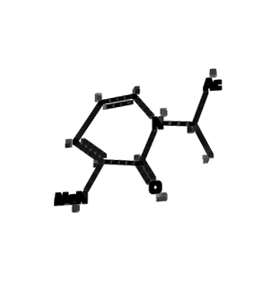 CNc1cccn(C(C)C(C)=O)c1=O